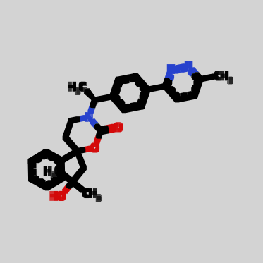 Cc1ccc(-c2ccc([C@H](C)N3CCC(CC(C)(C)O)(c4ccccc4)OC3=O)cc2)nn1